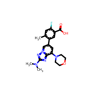 Cc1cc(F)c(C(=O)O)cc1-c1cc(N2CCOCC2)c2nc(N(C)C)nn2c1